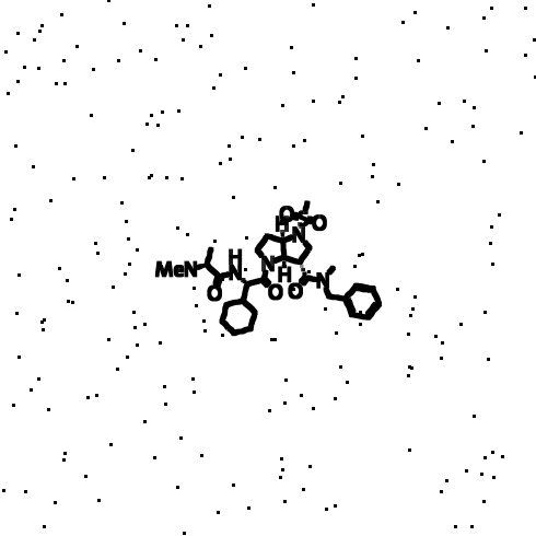 CN[C@@H](C)C(=O)N[C@H](C(=O)N1CC[C@@H]2[C@H]1[C@@H](C(=O)N(C)Cc1ccccc1)CN2S(C)(=O)=O)C1CCCCC1